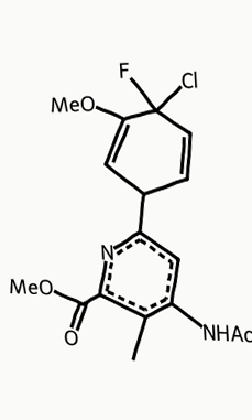 COC(=O)c1nc(C2C=CC(F)(Cl)C(OC)=C2)cc(NC(C)=O)c1C